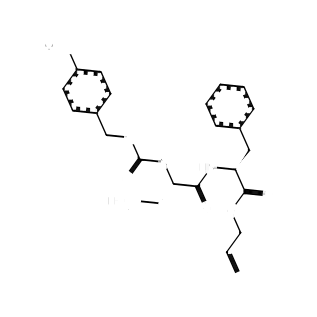 C=CCOC(=O)[C@H](Cc1ccccc1)NC(=O)[C@H](CC(=O)O)NC(=O)OCc1ccc(OC)cc1